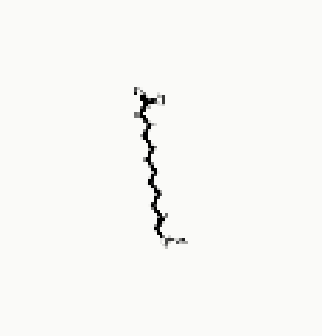 CCCCCCC=CCCCCCCCCCC(=O)Cl